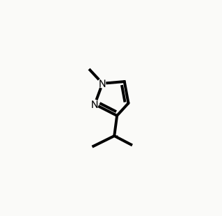 C[C](C)c1ccn(C)n1